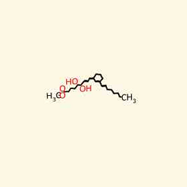 CCCCCC/C=C/C1=CC(=C\C=C\C(O)C(O)CCCC(=O)OC)/CCC1